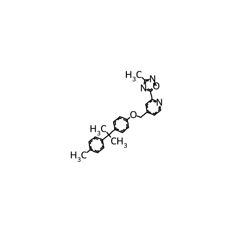 Cc1ccc(C(C)(C)c2ccc(OCc3ccnc(-c4nc(C)no4)c3)cc2)cc1